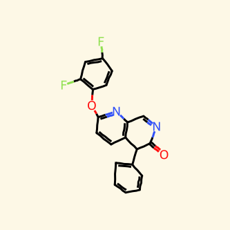 O=C1N=Cc2nc(Oc3ccc(F)cc3F)ccc2C1c1ccccc1